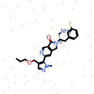 CCCOCc1cnn(C)c1-c1cc2c(cn1)C(=O)N([C@H](CN)Cc1cccc(F)c1)C2